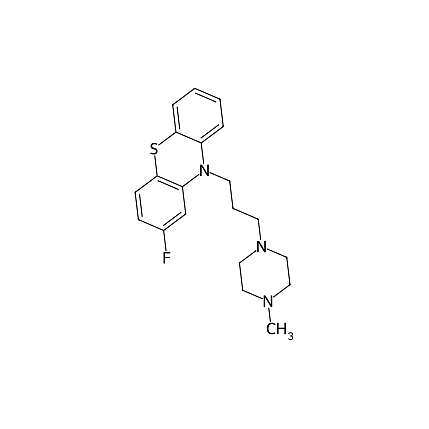 CN1CCN(CCCN2c3ccccc3Sc3ccc(F)cc32)CC1